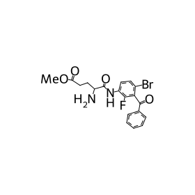 COC(=O)CCC(N)C(=O)Nc1ccc(Br)c(C(=O)c2ccccc2)c1F